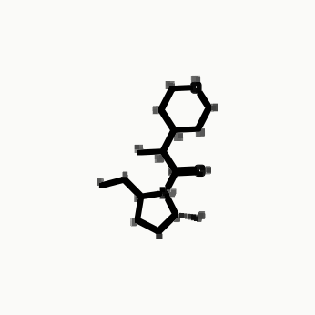 CCC1CC[C@@H](C)N1C(=O)C(C)C1CCOCC1